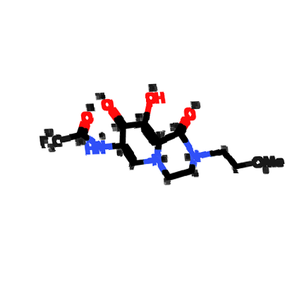 COCCN1CCn2cc(NC(=O)C(F)(F)F)c(=O)c(O)c2C1=O